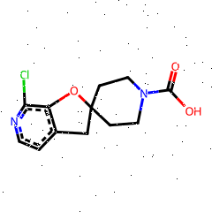 O=C(O)N1CCC2(CC1)Cc1ccnc(Cl)c1O2